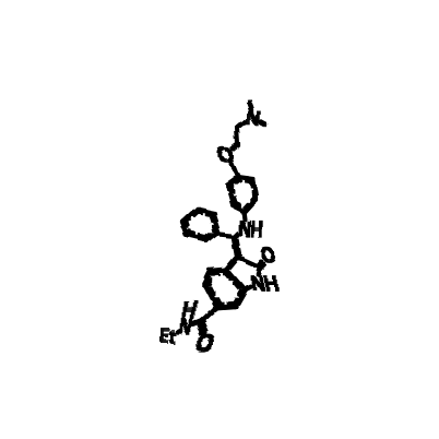 CCNC(=O)c1ccc2c(c1)NC(=O)/C2=C(\Nc1ccc(OCCN(C)C)cc1)c1ccccc1